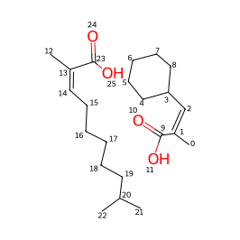 CC(=CC1CCCCC1)C(=O)O.CC(=CCCCCCC(C)C)C(=O)O